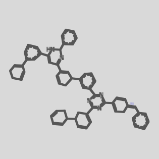 C1=CCC(C2C=CC=C(c3nc(C4=CC/C(=C\c5ccccc5)C=C4)nc(-c4cccc(C5C=C(C6=NC(c7ccccc7)NC(c7cccc(C8=CCCC=C8)c7)=C6)C=CC5)c4)n3)C2)C=C1